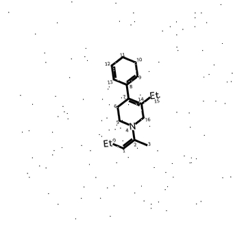 CC/C=C(/C)N1CCC(C2=CCCC=C2)=C(CC)C1